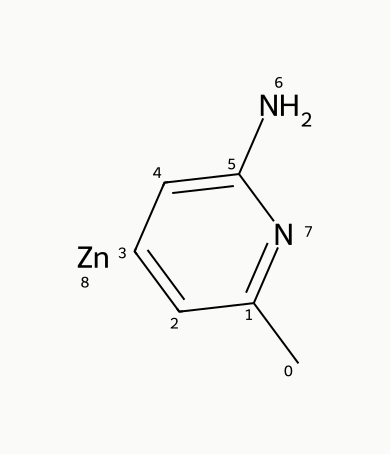 Cc1cccc(N)n1.[Zn]